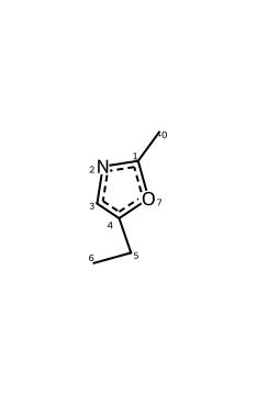 [CH2]c1ncc(CC)o1